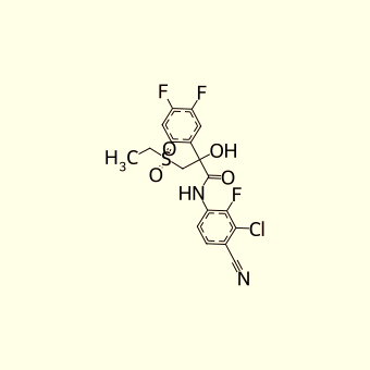 CCS(=O)(=O)CC(O)(C(=O)Nc1ccc(C#N)c(Cl)c1F)c1ccc(F)c(F)c1